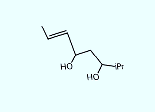 CC=CC(O)CC(O)C(C)C